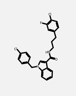 O=C(NCCCc1ccc(Cl)c(F)c1)c1cn(Cc2ccc(Cl)cc2)c2ccccc12